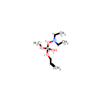 C=CCO[Si](O)(OC)ON(CC)CC